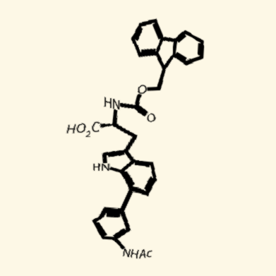 CC(=O)Nc1cccc(-c2cccc3c(C[C@H](NC(=O)OCC4c5ccccc5-c5ccccc54)C(=O)O)c[nH]c23)c1